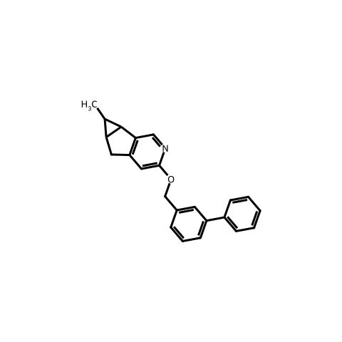 CC1C2Cc3cc(OCc4cccc(-c5ccccc5)c4)ncc3C12